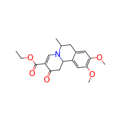 CCOC(=O)C1=CN2C(C)Cc3cc(OC)c(OC)cc3C2CC1=O